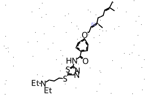 CCN(CC)CCCSc1nnc(NC(=O)c2ccc(OC/C=C(\C)CCC=C(C)C)cc2)s1